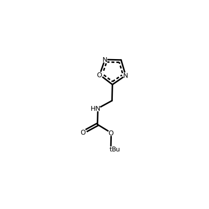 CC(C)(C)OC(=O)NCc1ncno1